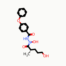 C[C@@H](CCCO)C(=O)N(O)NC(=O)c1ccc(Oc2ccccc2)cc1